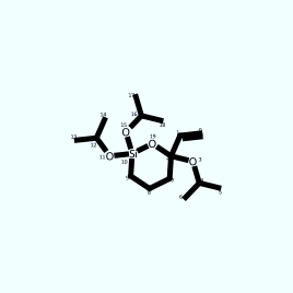 C=CC1(OC(C)C)CCC[Si](OC(C)C)(OC(C)C)O1